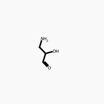 N[CH]C(O)C=O